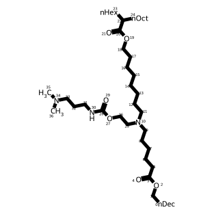 CCCCCCCCCCCOC(=O)CCCCCN(CCCCCCCCOC(=O)C(CCCCCC)CCCCCCCC)CCOC(=O)NCCCN(C)C